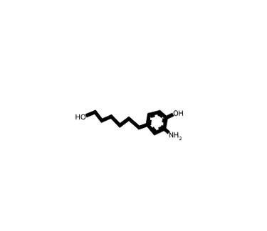 Nc1cc(CCCCCCO)ccc1O